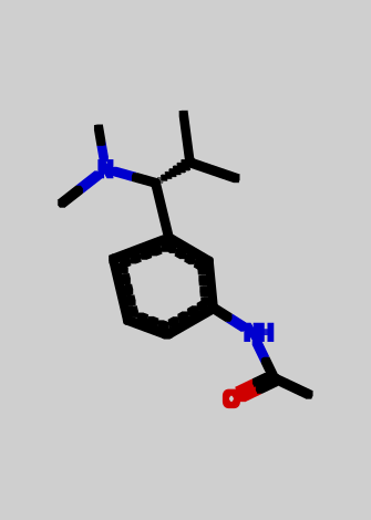 CC(=O)Nc1cccc([C@@H](C(C)C)N(C)C)c1